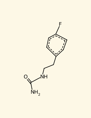 NC(=O)NCCc1ccc(F)cc1